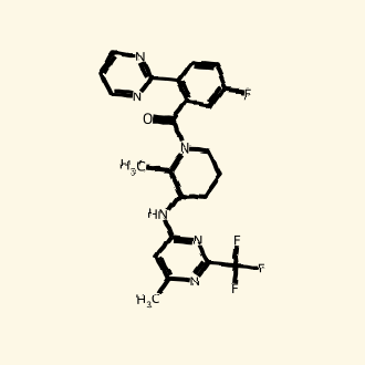 Cc1cc(NC2CCCN(C(=O)c3cc(F)ccc3-c3ncccn3)C2C)nc(C(F)(F)F)n1